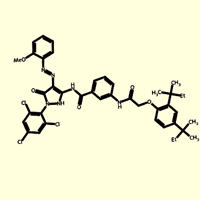 CCC(C)(C)c1ccc(OCC(=O)Nc2cccc(C(=O)Nc3[nH]n(-c4c(Cl)cc(Cl)cc4Cl)c(=O)c3/N=N/c3ccccc3OC)c2)c(C(C)(C)CC)c1